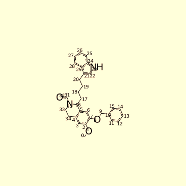 COc1cc2c(cc1OCc1ccccc1)C(CCCCc1c[nH]c3ccccc13)N(C=O)CC2